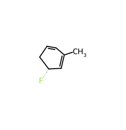 CC1=C[C@H](F)CC=C1